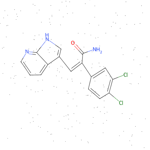 NC(=O)/C(=C\c1c[nH]c2ncccc12)c1ccc(Cl)c(Cl)c1